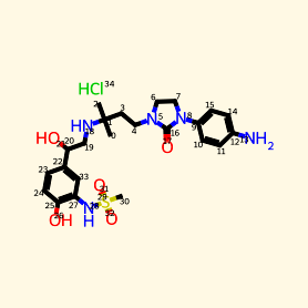 CC(C)(CCN1CCN(c2ccc(N)cc2)C1=O)NCC(O)c1ccc(O)c(NS(C)(=O)=O)c1.Cl